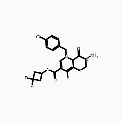 N[C@H]1CSC2=C(F)C(C(=O)NC3CC(F)(F)C3)=CN(Cc3ccc(Cl)cc3)C2C1=O